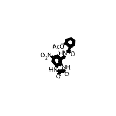 CC(=O)Oc1ccccc1C(=O)NCc1cc([N+](=O)[O-])cc2[nH]c(=O)c(=O)[nH]c12